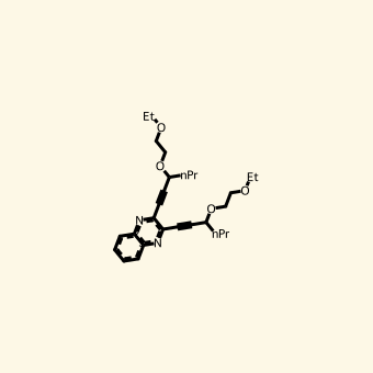 CCCC(C#Cc1nc2ccccc2nc1C#CC(CCC)OCCOCC)OCCOCC